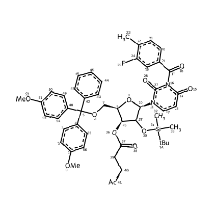 COc1ccc(C(OC[C@H]2O[C@@H](n3ccc(=O)n(C(=O)c4ccc(C)c(F)c4)c3=O)C(O[Si](C)(C)C(C)(C)C)[C@H]2OC(=O)CCC(C)=O)(c2ccccc2)c2ccc(OC)cc2)cc1